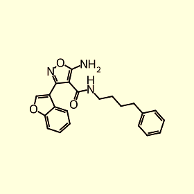 Nc1onc(-c2coc3ccccc23)c1C(=O)NCCCCc1ccccc1